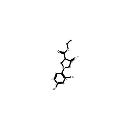 CCOC(=O)C1CN(c2ccc(F)cc2F)CC1=O